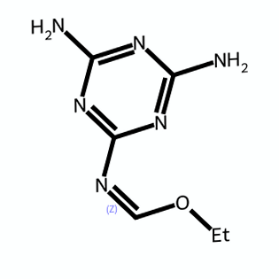 CCO/C=N\c1nc(N)nc(N)n1